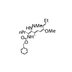 CC/C=C(C)/C(=C\C=C(C)\C(NNC)=C(\CCC)NC(=O)OCc1ccccc1)OC